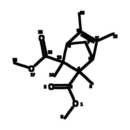 COC(=O)C1(C)C2CC(C(C)=C2C)C1(C)C(=O)OC